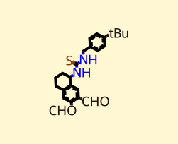 CC(C)(C)c1ccc(CNC(=S)NC2CCCc3cc(C=O)c(C=O)cc32)cc1